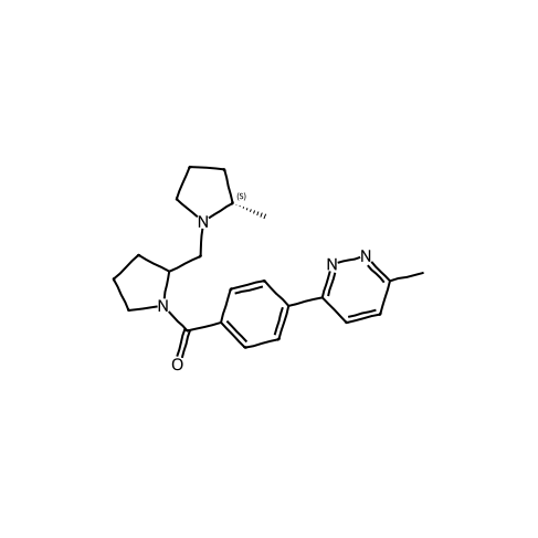 Cc1ccc(-c2ccc(C(=O)N3CCCC3CN3CCC[C@@H]3C)cc2)nn1